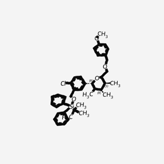 COc1ccc(COCC2O[C@@H](c3ccc(Cl)c(CO[Si](c4ccccc4)(c4ccccc4)C(C)(C)C)c3)C(C)[C@@H](C)[C@@H]2C)cc1